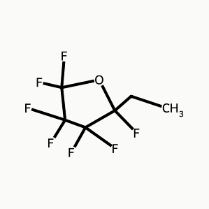 CCC1(F)OC(F)(F)C(F)(F)C1(F)F